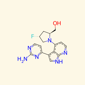 Nc1nccc(-c2c[nH]c3nccc(N4C[C@H](F)C[C@H]4CO)c23)n1